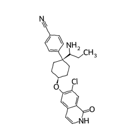 CCC(N)[C@]1(c2ccc(C#N)cc2)CC[C@H](Oc2cc3cc[nH]c(=O)c3cc2Cl)CC1